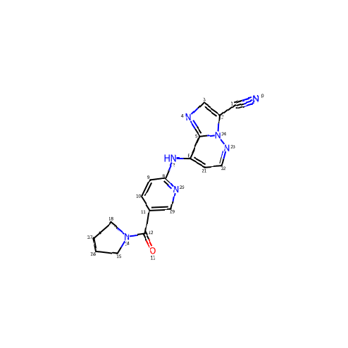 N#Cc1cnc2c(Nc3ccc(C(=O)N4CCCC4)cn3)ccnn12